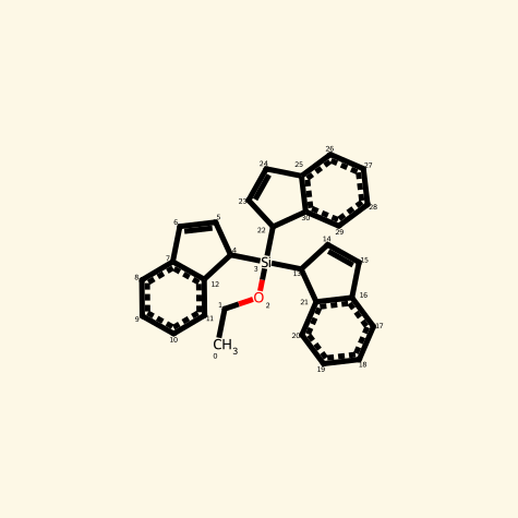 CCO[Si](C1C=Cc2ccccc21)(C1C=Cc2ccccc21)C1C=Cc2ccccc21